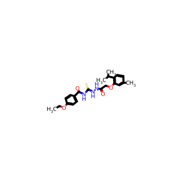 CCOc1ccc(C(=O)NC(=S)NNC(=O)COc2cc(C)ccc2C(C)C)cc1